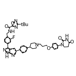 CC(C)(C)c1noc(C(=O)NCc2ccc(-c3n[nH]c4ncc(-c5ccc(C6CCN(CCCOc7ccc(N8CCC(=O)NC8=O)cc7)CC6)cc5)cc34)cc2F)n1